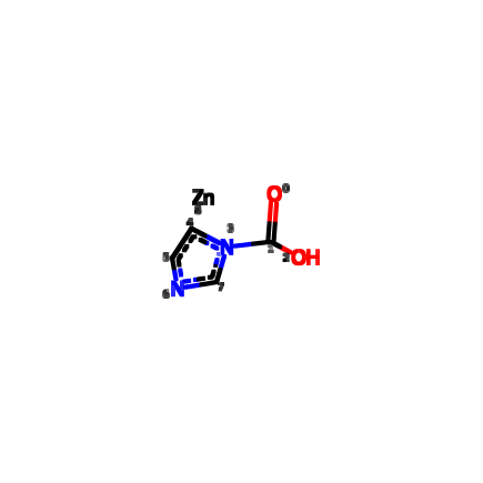 O=C(O)n1ccnc1.[Zn]